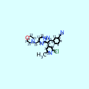 Cc1cc(-c2c(-c3cccc(C#N)c3)nn3ccc(CN4CCOCC4)nc23)cc(Cl)n1